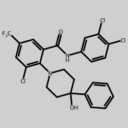 O=C(Nc1ccc(Cl)c(Cl)c1)c1cc(C(F)(F)F)cc(Cl)c1N1CCC(O)(c2ccccc2)CC1